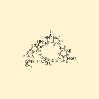 CN/C1=N\C(=N)[C@@](C)(c2cccc(CC3(C(=O)OC)CC3)c2)CCCC(C)(C)CSCCc2c(c(F)c(F)c3c2ccn3S)Sc2ccnc1c2